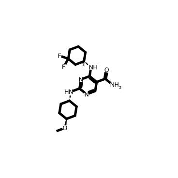 CO[C@H]1CC[C@H](Nc2ncc(C(N)=O)c(N[C@H]3CCCC(F)(F)C3)n2)CC1